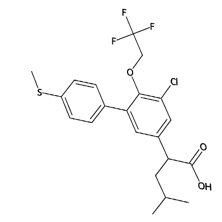 CSc1ccc(-c2cc(C(CC(C)C)C(=O)O)cc(Cl)c2OCC(F)(F)F)cc1